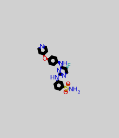 NS(=O)(=O)c1cccc(Nc2ncc(F)c(Nc3ccc(Oc4ccncc4)cc3)n2)c1